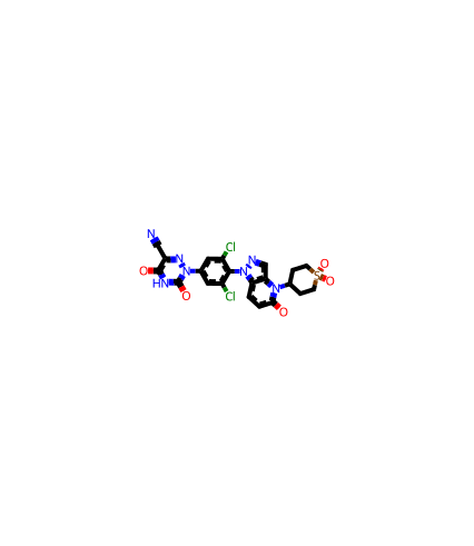 N#Cc1nn(-c2cc(Cl)c(-n3ncc4c3ccc(=O)n4C3CCS(=O)(=O)CC3)c(Cl)c2)c(=O)[nH]c1=O